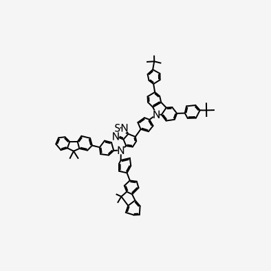 CC(C)(C)c1ccc(-c2ccc3c(c2)c2cc(-c4ccc(C(C)(C)C)cc4)ccc2n3-c2ccc(-c3ccc(N(c4ccc(-c5ccc6c(c5)C(C)(C)c5ccccc5-6)cc4)c4ccc(-c5ccc6c(c5)C(C)(C)c5ccccc5-6)cc4)c4nsnc34)cc2)cc1